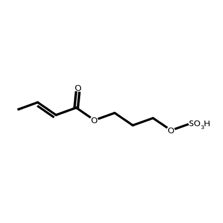 CC=CC(=O)OCCCOS(=O)(=O)O